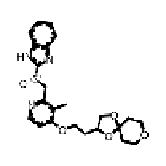 Cc1c(OCCC2COC3(CCOCC3)O2)ccnc1C[S+]([O-])c1nc2ccccc2[nH]1